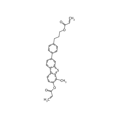 C=CC(=O)OCCCc1ccc(-c2ccc3c(c2)sc2c(C)c(OC(=O)C=C)ccc23)cc1